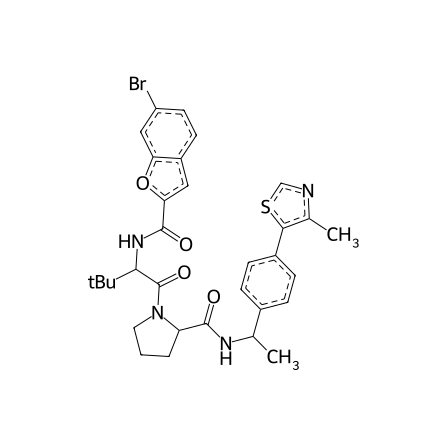 Cc1ncsc1-c1ccc(C(C)NC(=O)C2CCCN2C(=O)C(NC(=O)c2cc3ccc(Br)cc3o2)C(C)(C)C)cc1